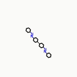 c1ccc(/N=N/c2ccc(-c3ccc(/N=N/c4ccccc4)cc3)cc2)cc1